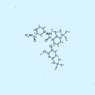 COc1cc(OC(F)(F)F)ccc1Oc1ccc(C(F)(F)F)c(SC)c1C(=O)Nc1ccnc(C(N)=O)c1